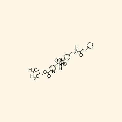 CCC(C)COC(=O)c1ccc(C(=O)NS(=O)(=O)c2ccc(CCNC(=O)CCc3ccccc3)cc2)cn1